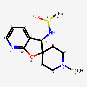 CC(C)(C)[S+]([O-])N[C@@H]1c2cccnc2OC12CCN(C(=O)O)CC2